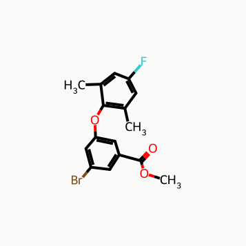 COC(=O)c1cc(Br)cc(Oc2c(C)cc(F)cc2C)c1